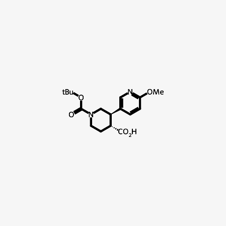 COc1ccc([C@@H]2CN(C(=O)OC(C)(C)C)CC[C@H]2C(=O)O)cn1